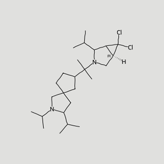 CC(C)C1CC2(CCC(C(C)(C)N3C[C@H]4C(C3C(C)C)C4(Cl)Cl)C2)CN1C(C)C